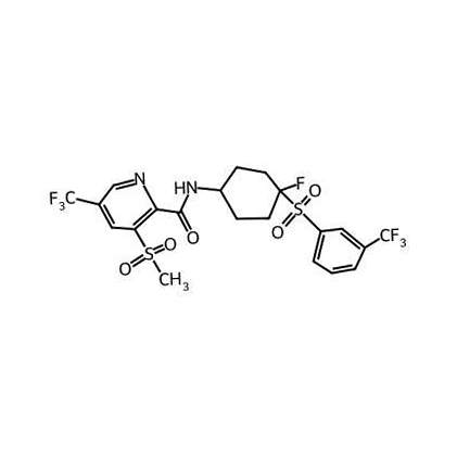 CS(=O)(=O)c1cc(C(F)(F)F)cnc1C(=O)NC1CCC(F)(S(=O)(=O)c2cccc(C(F)(F)F)c2)CC1